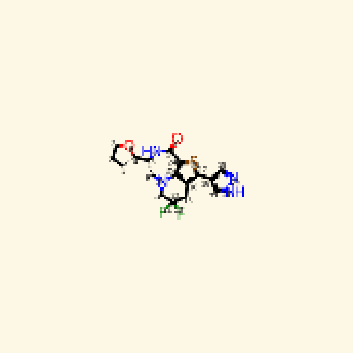 O=C1N[C@@H]([C@@H]2CCCO2)CN2CC(F)(F)Cc3c(-c4cn[nH]c4)sc1c32